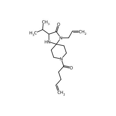 C=CCCC(=O)N1CCC2(CC1)NC(C(C)C)C(=O)N2CC=C